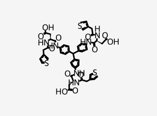 O=C(O)C[C@H](NC(=O)Cc1ccsc1)C(=O)Nc1ccc(C(c2ccc(NC(=O)[C@H](CC(=O)O)NC(=O)Cc3ccsc3)cc2)c2ccc(NC(=O)[C@H](CC(=O)O)NC(=O)Cc3ccsc3)cc2)cc1